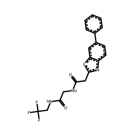 O=C(CNC(=O)Cc1nc2ccc(-c3ccccc3)cc2s1)NCC(F)(F)F